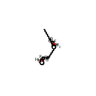 CCCCCCCCCC(=O)Oc1cc(F)c2c(c1)[C@@]1(C)CCC(CCCCCCCC(C)(C)C(=O)Oc3cc(F)c4c(c3)[C@@]3(C)CCCCC[C@@H](C4)[C@@H]3N)CC[C@@H](C2)[C@@H]1N